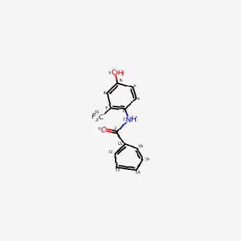 O=C(Nc1ccc(O)cc1C(F)(F)F)c1ccccc1